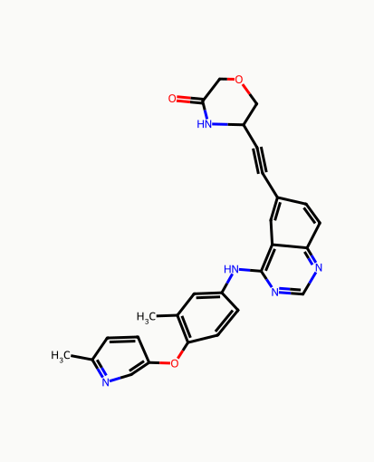 Cc1ccc(Oc2ccc(Nc3ncnc4ccc(C#CC5COCC(=O)N5)cc34)cc2C)cn1